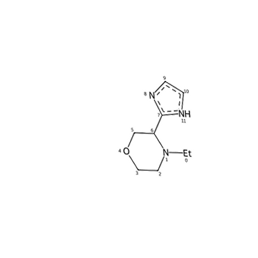 CCN1CCOCC1c1ncc[nH]1